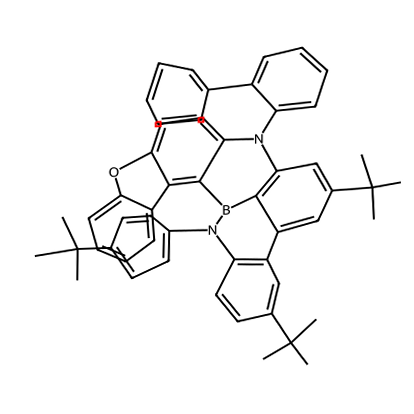 CC(C)(C)c1ccc(N2B3c4c(cc(C(C)(C)C)cc4N(c4ccccc4-c4ccccc4)c4ccc5oc6ccccc6c5c43)-c3cc(C(C)(C)C)ccc32)cc1